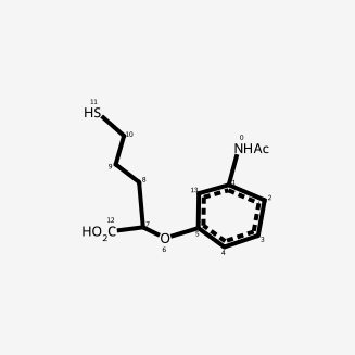 CC(=O)Nc1cccc(OC(CCCS)C(=O)O)c1